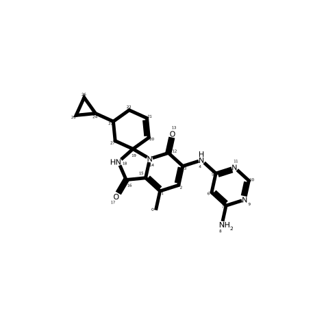 Cc1cc(Nc2cc(N)ncn2)c(=O)n2c1C(=O)NC21C=CCC(C2CC2)C1